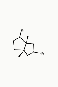 CC(C)C1CC[C@@]2(C)CN(C(C)C)C[C@@]12C